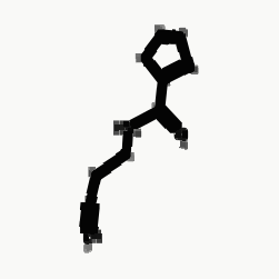 C#CCCNC(=O)C1=CC=CC1